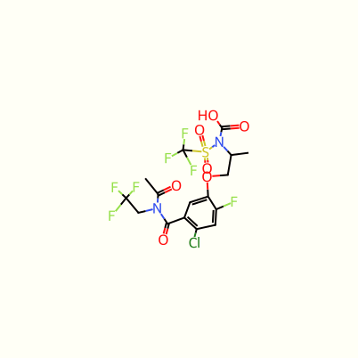 CC(=O)N(CC(F)(F)F)C(=O)c1cc(OCC(C)N(C(=O)O)S(=O)(=O)C(F)(F)F)c(F)cc1Cl